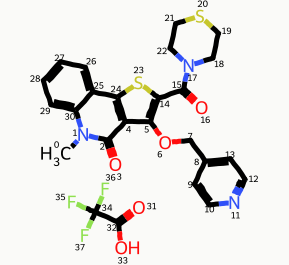 Cn1c(=O)c2c(OCc3ccncc3)c(C(=O)N3CCSCC3)sc2c2ccccc21.O=C(O)C(F)(F)F